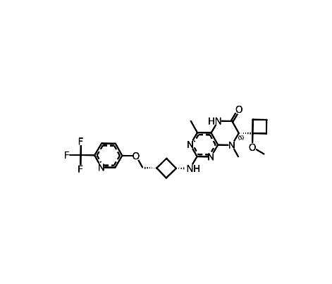 COC1([C@H]2C(=O)Nc3c(C)nc(N[C@H]4C[C@@H](COc5ccc(C(F)(F)F)nc5)C4)nc3N2C)CCC1